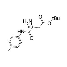 Cc1ccc(NC(=O)[C@@H](N)CC(=O)OC(C)(C)C)cc1